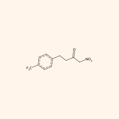 O=C(CCc1ccc(C(F)(F)F)cc1)C[N+](=O)[O-]